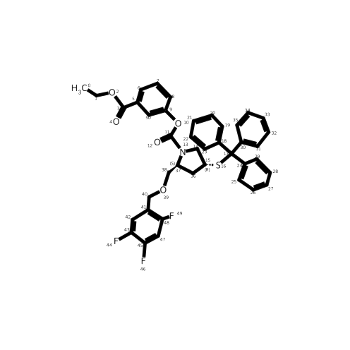 CCOC(=O)c1cccc(OC(=O)N2C[C@H](SC(c3ccccc3)(c3ccccc3)c3ccccc3)C[C@H]2COCc2cc(F)c(F)cc2F)c1